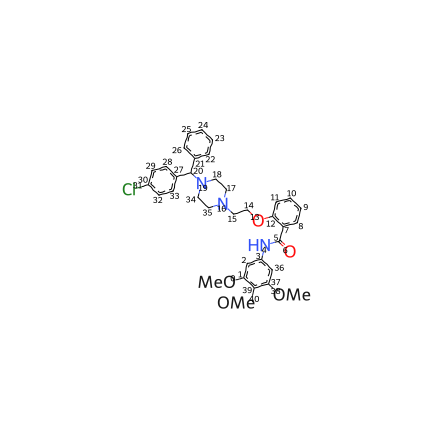 COc1cc(NC(=O)c2ccccc2OCCN2CCN(C(c3ccccc3)c3ccc(Cl)cc3)CC2)cc(OC)c1OC